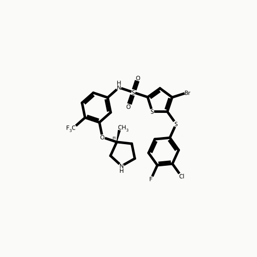 C[C@@]1(Oc2cc(NS(=O)(=O)c3cc(Br)c(Sc4ccc(F)c(Cl)c4)s3)ccc2C(F)(F)F)CCNC1